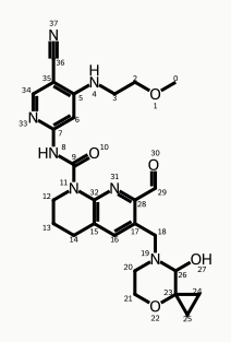 COCCNc1cc(NC(=O)N2CCCc3cc(CN4CCOC5(CC5)C4O)c(C=O)nc32)ncc1C#N